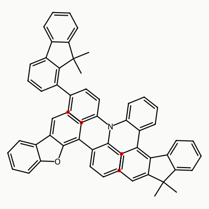 CC1(C)c2ccccc2-c2c(-c3ccccc3N(c3ccc(-c4cccc5c4C(C)(C)c4ccccc4-5)cc3)c3ccccc3-c3cccc4c3oc3ccccc34)cccc21